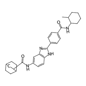 CC1CCCCC1NC(=O)c1ccc(-c2nc3cc(NC(=O)C4CC5CCC4CC5)ccc3[nH]2)cc1